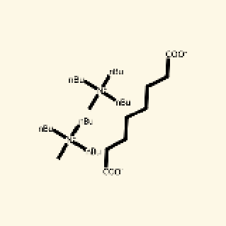 CCCC[N+](C)(CCCC)CCCC.CCCC[N+](C)(CCCC)CCCC.O=C([O-])CCCCCCC(=O)[O-]